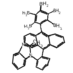 Bc1c(B)c(B)c(-c2c3ccccc3c(-c3ccccc3-n3c(C)nc4ccccc43)c3ccccc23)c(B)c1B